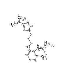 C=C(C(=O)O)c1cn(CCCOc2cccc(C)c2NC(=O)NCCCC)cn1